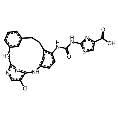 O=C(Nc1nc(C(=O)O)cs1)Nc1ccc2cc1CCc1cccc(c1)Nc1ncc(Cl)c(n1)N2